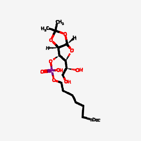 CCCCCCCCCCCCCCCCOP(=O)(O)O[C@@H]1[C@H]2OC(C)(C)O[C@H]2O[C@@H]1[C@H](O)CO